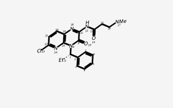 CC[C@@H](c1ccccc1)n1c(=O)c(NC(=O)CCNC)nc2ccc(Cl)nc21